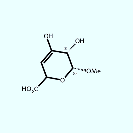 CO[C@@H]1OC(C(=O)O)C=C(O)[C@@H]1O